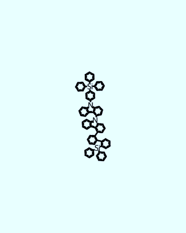 c1ccc([Si](c2ccccc2)(c2ccccc2)c2ccc(-n3c4ccccc4c4c(-n5c6ccccc6c6c(-c7cccc8c7-c7ccccc7[Si]8(c7ccccc7)c7ccccc7)cccc65)cccc43)cc2)cc1